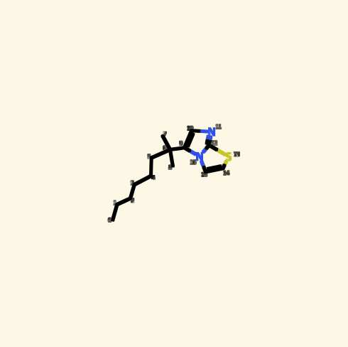 CCCCCCC(C)(C)c1cnc2sccn12